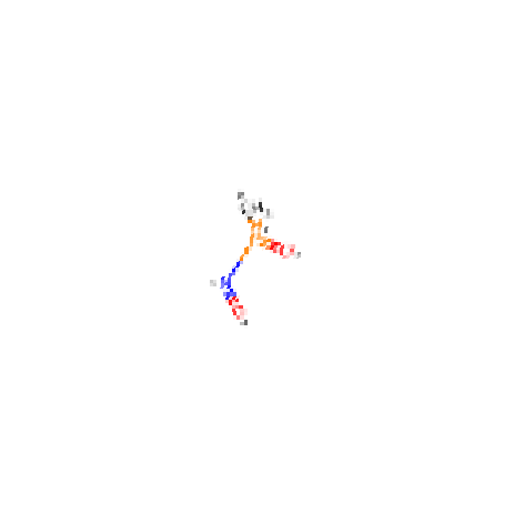 C[PH](=O)N=O